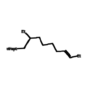 [CH2]C/C=C/CCCCC(CC)CCCCCCC[CH2]